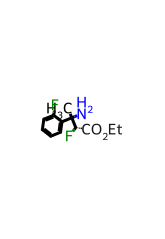 CCOC(=O)[C@H](F)C(C)(N)c1ccccc1F